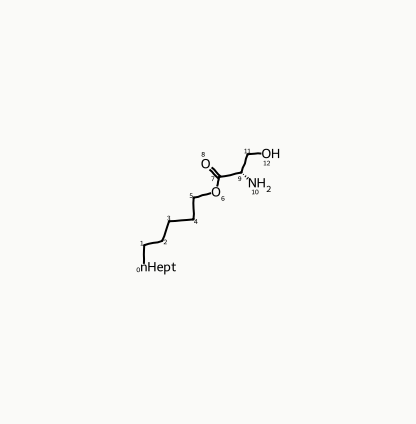 CCCCCCCCCCCCOC(=O)[C@@H](N)CO